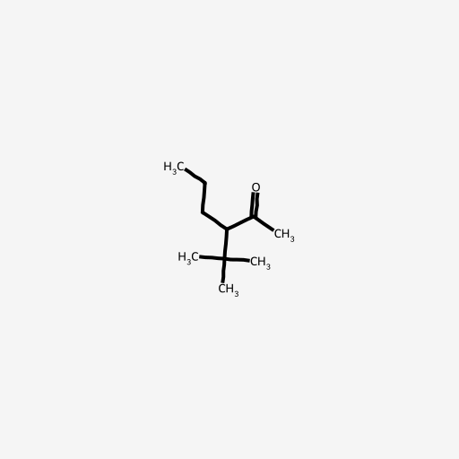 CCCC(C(C)=O)C(C)(C)C